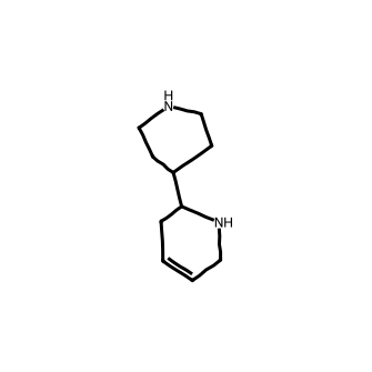 C1=CCC(C2CCNCC2)NC1